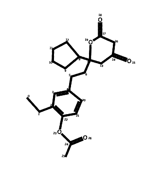 CCc1cc(CCC2(C3CCCC3)CC(=O)CC(=O)O2)ccc1OC(C)=O